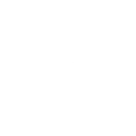 C=C(c1ccccc1)c1cc(CC(=O)OC)ccc1OCc1ccccc1